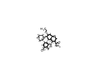 CCOc1cc2ncc(C(N)=O)c(Nc3cccc(Cl)c3F)c2cc1N1CCOCC1